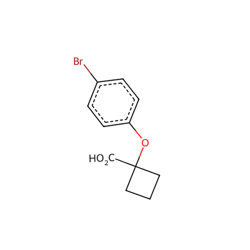 O=C(O)C1(Oc2ccc(Br)cc2)CCC1